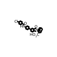 O=C(Nc1ccc(-c2ccc3c(c2)C(=O)N(C24CC5CC(CC(C(=O)O)(C5)C2)C4)C3)cc1)c1ccc(Cl)cc1